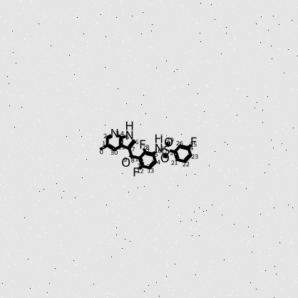 Cc1cnc2[nH]cc(C(=O)c3c(F)ccc(NS(=O)(=O)c4cccc(F)c4)c3F)c2c1